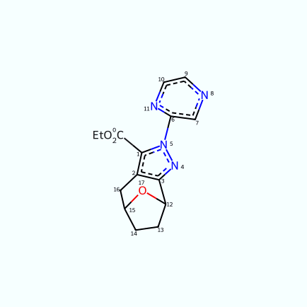 CCOC(=O)c1c2c(nn1-c1cnccn1)C1CCC(C2)O1